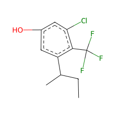 CCC(C)c1cc(O)cc(Cl)c1C(F)(F)F